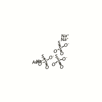 O=S([O-])([O-])=S.O=S([O-])([O-])=S.O=S([O-])([O-])=S.[Au+3].[Na+].[Na+].[Na+]